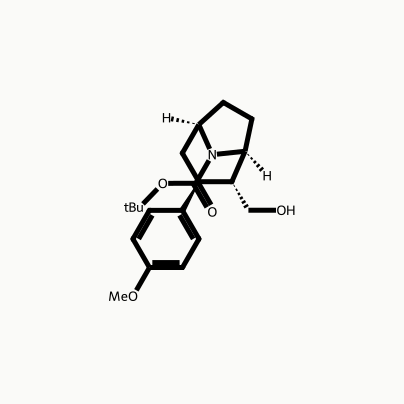 COc1ccc([C@H]2C[C@H]3CC[C@@H]([C@@H]2CO)N3C(=O)OC(C)(C)C)cc1